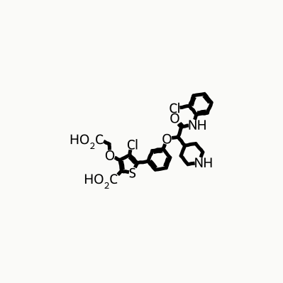 O=C(O)COc1c(C(=O)O)sc(-c2cccc(OC(C(=O)Nc3ccccc3Cl)C3CCNCC3)c2)c1Cl